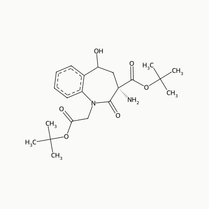 CC(C)(C)OC(=O)CN1C(=O)[C@](N)(C(=O)OC(C)(C)C)CC(O)c2ccccc21